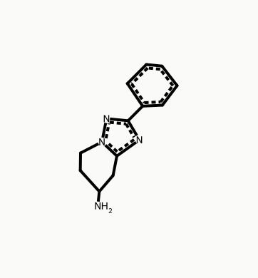 NC1CCn2nc(-c3ccccc3)nc2C1